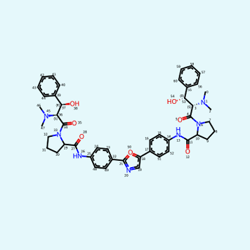 CN(C)[C@H](C(=O)N1CCCC1C(=O)Nc1ccc(-c2cnc(-c3ccc(NC(=O)C4CCCN4C(=O)[C@H]([C@H](O)c4ccccc4)N(C)C)cc3)o2)cc1)[C@H](O)c1ccccc1